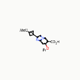 COC12CC(c3cn4cc(C(=O)O)c(OC(C)C)cc4n3)(C1)C2